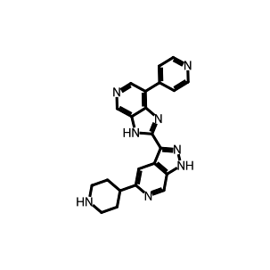 c1cc(-c2cncc3[nH]c(-c4n[nH]c5cnc(C6CCNCC6)cc45)nc23)ccn1